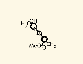 COC(=O)c1cc(N2CC(N3CCC(C)(O)CC3)C2)ccc1C